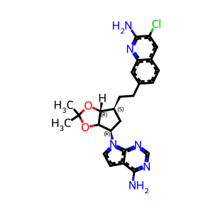 CC1(C)OC2[C@H](n3ccc4c(N)ncnc43)C[C@H](CCc3ccc4cc(Cl)c(N)nc4c3)[C@H]2O1